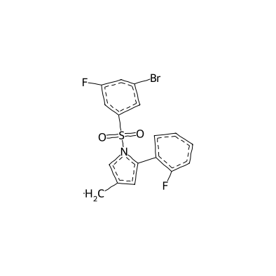 [CH2]c1cc(-c2ccccc2F)n(S(=O)(=O)c2cc(F)cc(Br)c2)c1